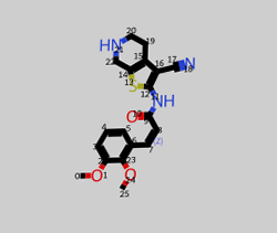 COc1cccc(/C=C\C(=O)Nc2sc3c(c2C#N)CCNC3)c1OC